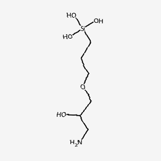 NCC(O)COCCC[Si](O)(O)O